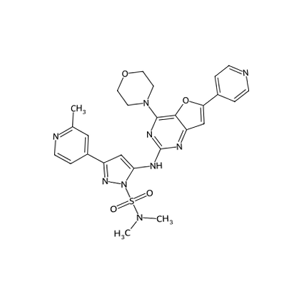 Cc1cc(-c2cc(Nc3nc(N4CCOCC4)c4oc(-c5ccncc5)cc4n3)n(S(=O)(=O)N(C)C)n2)ccn1